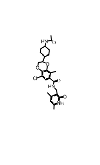 CC(=O)NC1CCC(C2COc3c(Cl)cc(C(=O)NCc4c(C)cc(C)[nH]c4=O)c(C)c3O2)CC1